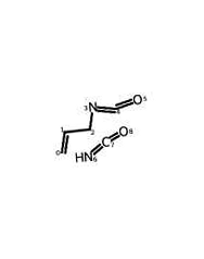 C=CCN=C=O.N=C=O